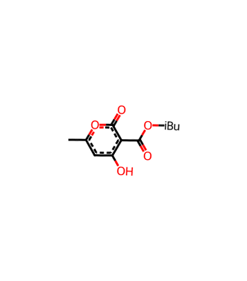 CCC(C)OC(=O)c1c(O)cc(C)oc1=O